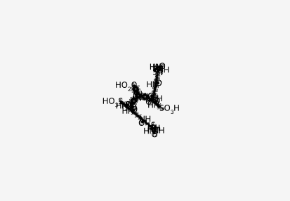 O=C(CCCCC1SC[C@@H]2NC(=O)N[C@H]12)NCCCCCC(=O)NC(CC(=O)NCCS(=O)(=O)O)C(=O)NC1CCN(c2nc(N3CCC(NC(=O)C(CC(=O)NCCS(=O)(=O)O)NC(=O)CCCCCNC(=O)CCCC[C@H]4SC[C@H]5NC(=O)N[C@H]54)CC3)nc(N3CCC(C(=O)O)CC3)n2)CC1